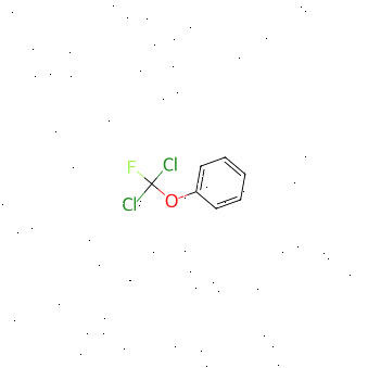 FC(Cl)(Cl)Oc1ccccc1